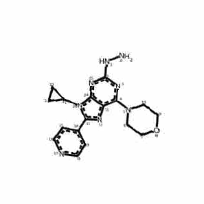 NNc1nc(N2CCOCC2)c2nc(-c3ccncc3)n(C3CC3)c2n1